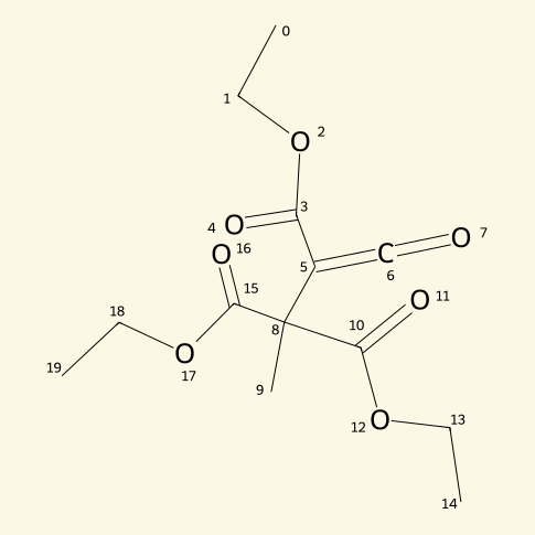 CCOC(=O)C(=C=O)C(C)(C(=O)OCC)C(=O)OCC